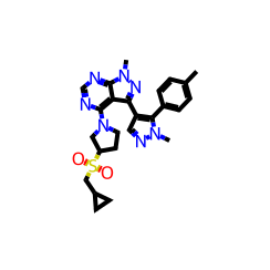 Cc1ccc(-c2c(-c3nn(C)c4ncnc(N5CCC(S(=O)(=O)CC6CC6)C5)c34)cnn2C)cc1